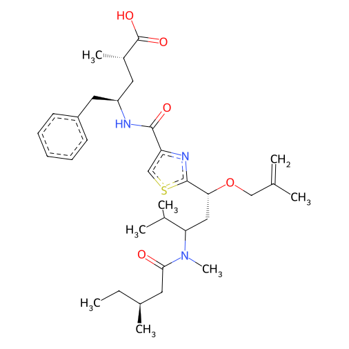 C=C(C)CO[C@H](CC(C(C)C)N(C)C(=O)C[C@@H](C)CC)c1nc(C(=O)N[C@@H](Cc2ccccc2)C[C@H](C)C(=O)O)cs1